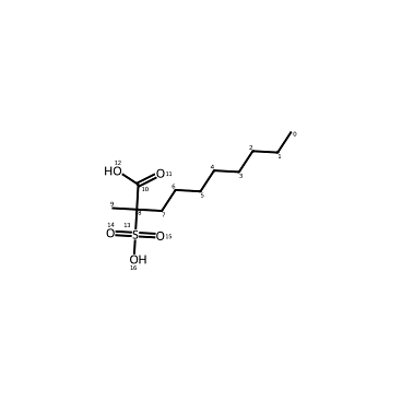 CCCCCCCCC(C)(C(=O)O)S(=O)(=O)O